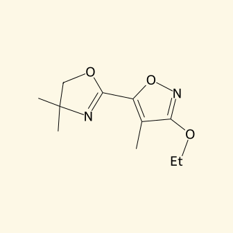 CCOc1noc(C2=NC(C)(C)CO2)c1C